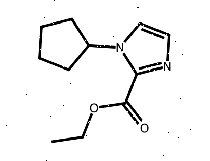 CCOC(=O)c1nccn1C1CCCC1